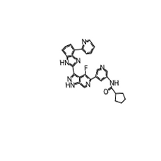 O=C(Nc1cncc(-c2ncc3[nH]nc(-c4nc5c(-c6ccccn6)cccc5[nH]4)c3c2F)c1)C1CCCC1